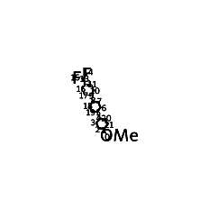 COc1ccc(-c2ccc([C@H]3CC[C@H](C(F)F)CC3)cc2)cc1